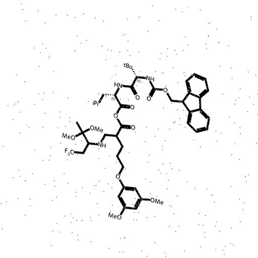 COc1cc(OC)cc(OCCCC(CNC(CC(F)(F)F)C(C)(OC)OC)C(=O)OC(=O)[C@H](CC(C)C)NC(=O)[C@@H](NC(=O)OCC2c3ccccc3-c3ccccc32)C(C)(C)C)c1